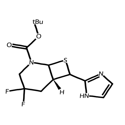 CC(C)(C)OC(=O)N1CC(F)(F)C[C@H]2C(c3ncc[nH]3)SC21